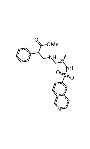 COC(=O)C(CNC[C@@H](C)NS(=O)(=O)c1ccc2cnccc2c1)c1ccccc1